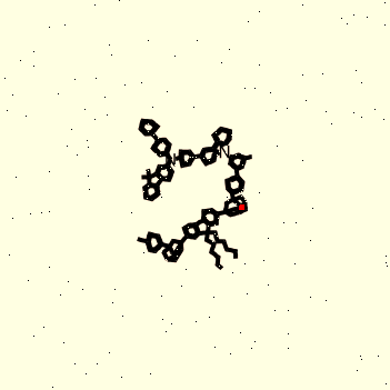 CCCCCCC1(CCCCCC)c2cc(C34CC5CC(CC(c6ccc(C)cc6)(C5)C3)C4)ccc2-c2ccc(C34CC5CC(CC(c6ccc(-c7cc(C)cc(-n8c9ccccc9c9cc(-c%10ccc(N(c%11ccc(-c%12ccccc%12)cc%11)c%11ccc%12c(c%11)C(C)(C)c%11ccccc%11-%12)cc%10)ccc98)c7)cc6)(C5)C3)C4)cc21